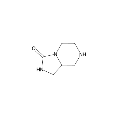 O=C1NCC2CNCCN12